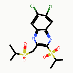 CC(C)S(=O)(=O)Cc1nc2cc(Cl)c(Cl)cc2nc1S(=O)(=O)C(C)C